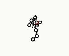 c1ccc(-c2cccc(-c3ccc(-c4nc(-c5ccccc5)cc(-n5c6ccccc6c6ccc7c8ccccc8n(-c8ccccc8)c7c65)n4)cc3)c2)cc1